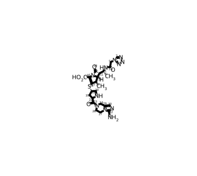 C[C@@H](NC(=O)Cn1cnnn1)[C@H]1C(=O)N2C(C(=O)O)=C(S[C@@H]3CNC(C(=O)N4CCn5c(cnc5N)C4)C3)[C@H](C)[C@H]12